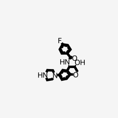 O=C(N[C@H]1c2cc(N3CCNCC3)ccc2OC[C@@H]1O)c1ccc(F)cc1